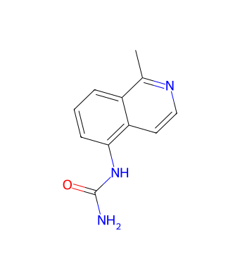 Cc1nccc2c(NC(N)=O)cccc12